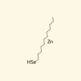 CCCCCCCCCCCC[SeH].[Zn]